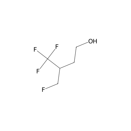 OCCC(CF)C(F)(F)F